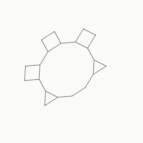 C1CC2CC2C2CCC2C2CCC2C2CCC2C2CC12